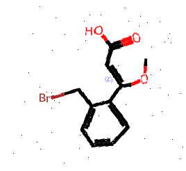 CO/C(=C\C(=O)O)c1ccccc1CBr